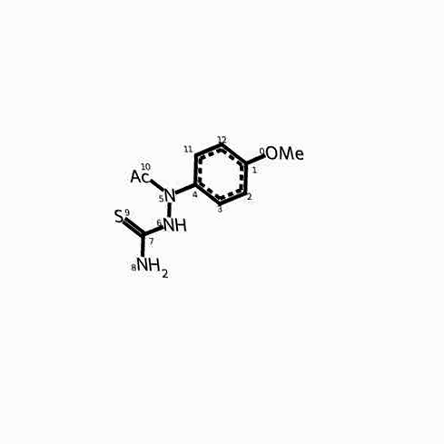 COc1ccc(N(NC(N)=S)C(C)=O)cc1